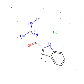 CCN/C(N)=N/C(=O)c1cc2ccccc2[nH]1.Cl